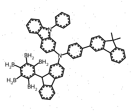 Bc1c(B)c(B)c(C2c3ccccc3-c3ccc(N(c4ccc(-c5ccc6c(c5)-c5ccccc5C6(C)C)cc4)c4ccc5c6ccccc6n(-c6ccccc6)c5c4)cc32)c(B)c1B